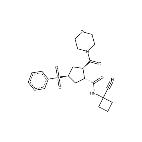 N#CC1(NC(=O)[C@@H]2C[C@@H](S(=O)(=O)c3ccccc3)C[C@H]2C(=O)N2CCOCC2)CCC1